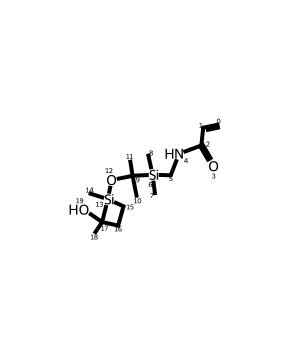 C=CC(=O)NC[Si](C)(C)C(C)(C)O[Si]1(C)CCC1(C)O